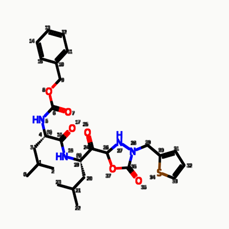 CC(C)C[C@H](NC(=O)OCc1ccccc1)C(=O)N[C@@H](CC(C)C)C(=O)C1NN(Cc2cccs2)C(=O)O1